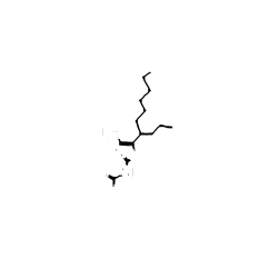 Bc1nc(NC(=O)O)sc1C(CCC)CCCCCC